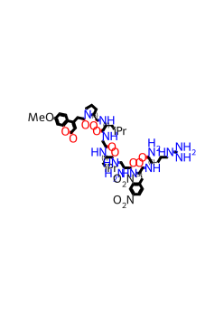 COc1ccc2c(CC(=O)N3CCC[C@H]3C(=O)N[C@@H](CC(C)C)C(=O)NCC(=O)N[C@@H](CC(C)C)C(=O)NCC(N)C(=O)N[C@@H](Cc3ccc([N+](=O)[O-])cc3[N+](=O)[O-])C(=O)N[C@@H](CCCNC(=N)N)C(N)=O)cc(=O)oc2c1